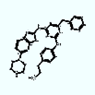 O=C(O)CCc1ccc(Nc2nc(Cc3ccccc3)cc(Nc3nc4ccc(N5CCNCC5)nc4s3)n2)cc1